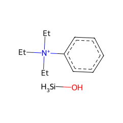 CC[N+](CC)(CC)c1ccccc1.O[SiH3]